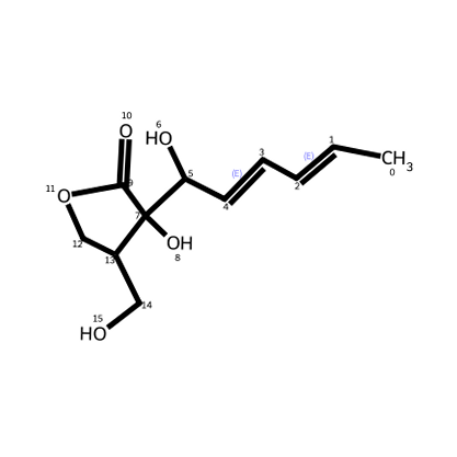 C/C=C/C=C/C(O)C1(O)C(=O)OCC1CO